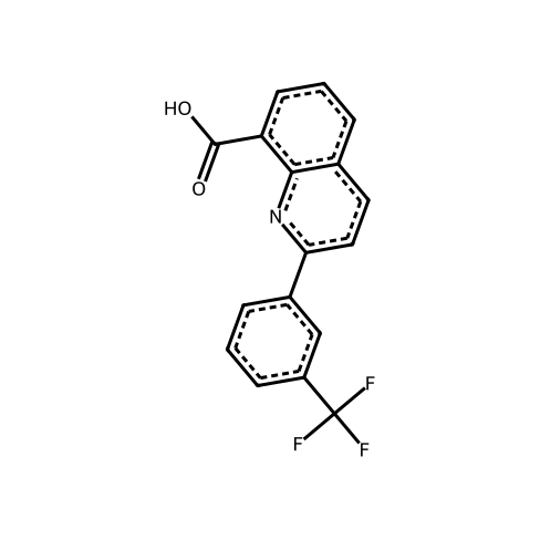 O=C(O)c1cccc2ccc(-c3cccc(C(F)(F)F)c3)nc12